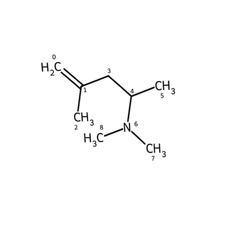 C=C(C)CC(C)N(C)C